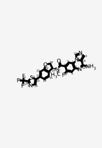 CN(C(=O)c1cc2c(cc1F)nc(N)c1cncn12)[C@@H]1COc2cc(-c3cnc(C(F)(F)F)s3)ccc21